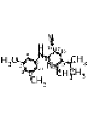 Cc1cc(C)cc(Nc2nc(C)c(C(C)C)cc2C#N)c1